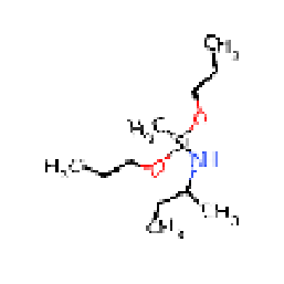 CCCO[Si](C)(NC(C)CC)OCCC